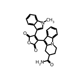 Cn1cc(C2=C(c3c4n(c5ccccc35)CCC(C(N)=O)C4)C(=O)OC2=O)c2ccccc21